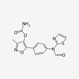 Cc1noc(-c2ccc(N(C=O)c3nccs3)cc2)c1OC(N)=O